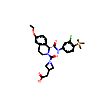 CCOc1ccc2c(c1)CCN(C(=O)N1CC(CC(=O)O)C1)[C@H]2C(=O)Nc1ccc(S(C)(C)C)c(F)c1